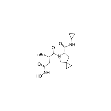 CCCCC(CC(=O)NO)C(=O)N1CC2(CC2)C[C@H]1C(=O)NC1CC1